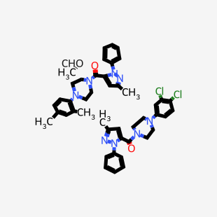 CC=O.Cc1cc(C(=O)N2CCN(c3ccc(Cl)c(Cl)c3)CC2)n(-c2ccccc2)n1.Cc1ccc(N2CCN(C(=O)c3cc(C)nn3-c3ccccc3)CC2)c(C)c1